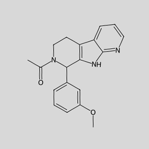 COc1cccc(C2c3[nH]c4ncccc4c3CCN2C(C)=O)c1